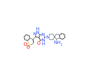 N[C@@H]1c2ccccc2CC12CCN(c1nc3[nH]nc(C4=CCS(=O)(=O)c5ccccc54)c3c(=O)[nH]1)CC2